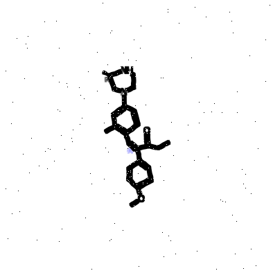 CCC(=O)/C(=C\c1ccc(N2CCN[C@H](C)C2)cc1C)c1ccc(OC)cc1